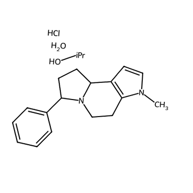 CC(C)O.Cl.Cn1ccc2c1CCN1C(c3ccccc3)CCC21.O